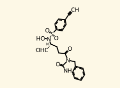 C#Cc1ccc(S(=O)(=O)N(O)[C@@H]([C]=O)CCC(=O)N(Cc2ccccc2)C(N)=O)cc1